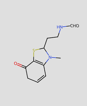 CN1C2=C(SC1CCNC=O)C(=O)CC=C2